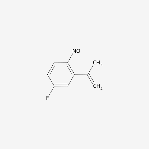 C=C(C)c1cc(F)ccc1N=O